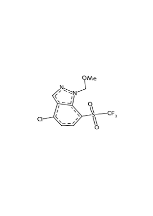 COCn1ncc2c(Cl)ccc(S(=O)(=O)C(F)(F)F)c21